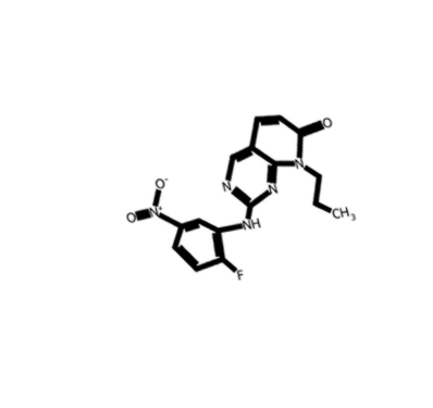 CCCn1c(=O)ccc2cnc(Nc3cc([N+](=O)[O-])ccc3F)nc21